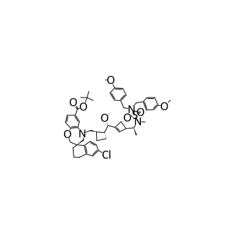 COc1ccc(CN(Cc2ccc(OC)cc2)S(=O)(=O)N(C)[C@@H](C)C2C=C([C@@H](OC)[C@@H]3CC[C@H]3CN3C[C@@]4(CCCc5cc(Cl)ccc54)COc4ccc(C(=O)OC(C)(C)C)cc43)C2)cc1